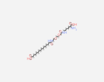 N[C@@H](C=CCCCNC(=O)COCCOCCNC(=O)CCCCCCCCCCCCCCC(=O)O)C(=O)O